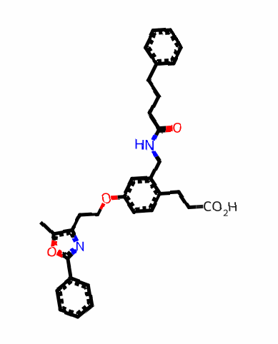 Cc1oc(-c2ccccc2)nc1CCOc1ccc(CCC(=O)O)c(CNC(=O)CCCc2ccccc2)c1